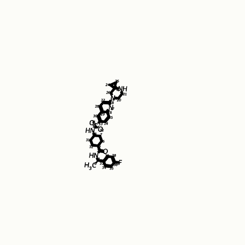 C[C@@H](NC(=O)C1CCC(NS(=O)(=O)c2ccc3nc(N4CCNC5(CC5)C4)ccc3c2)CC1)c1ccc(F)cc1